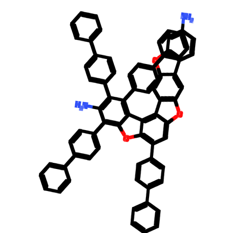 Nc1ccc2c(c1)oc1cc3c(cc12)oc1cc(-c2ccc(-c4ccccc4)cc2)c2oc4c(-c5ccc(-c6ccccc6)cc5)c(N)c(-c5ccc(-c6ccccc6)cc5)c(-c5ccc(-c6ccccc6)cc5)c4c2c13